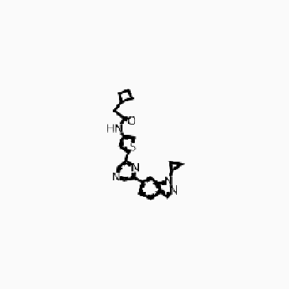 O=C(CC1CCC1)Nc1csc(-c2cncc(-c3ccc4cnn(C5CC5)c4c3)n2)c1